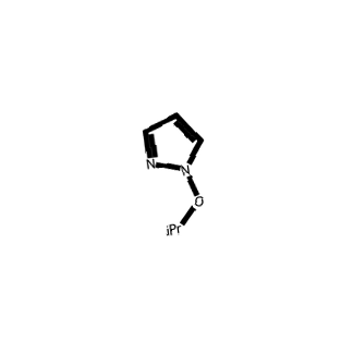 CC(C)On1cccn1